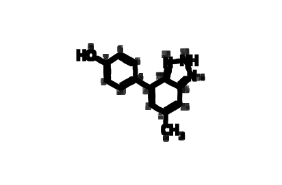 Cc1cc(-c2ccc(O)cc2)c2n[nH]nc2c1